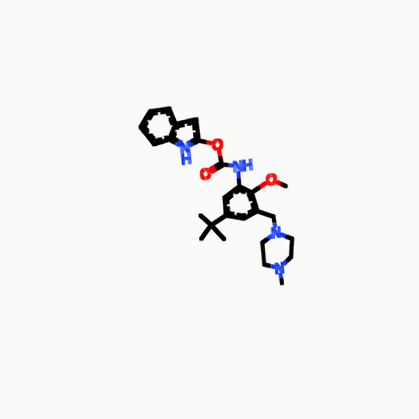 COc1c(CN2CCN(C)CC2)cc(C(C)(C)C)cc1NC(=O)Oc1cc2ccccc2[nH]1